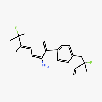 C=CC(C)(F)Cc1ccc(C(=C)/C(N)=C\C=C(/C)C(C)(C)F)cc1